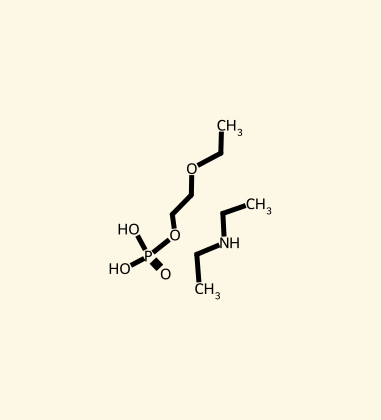 CCNCC.CCOCCOP(=O)(O)O